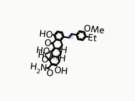 CCc1ccc(/C=C/c2ccc(O)c3c2C[C@H]2C[C@H]4CC(O)=C(C(N)=O)C(=O)[C@@]4(O)C(O)=C2C3=O)cc1OC